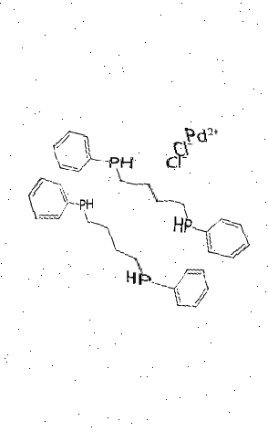 [Cl-].[Cl-].[Pd+2].c1ccc(PCCCCPc2ccccc2)cc1.c1ccc(PCCCCPc2ccccc2)cc1